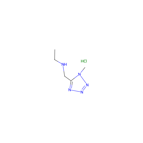 CCNCc1nnnn1C.Cl